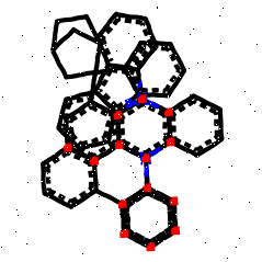 c1ccc(-c2ccccc2-c2ccccc2-c2ccccc2N(c2ccccc2-n2c3ccccc3c3ccccc32)c2cccc3c2-c2ccccc2C32CC3CCC2C3)cc1